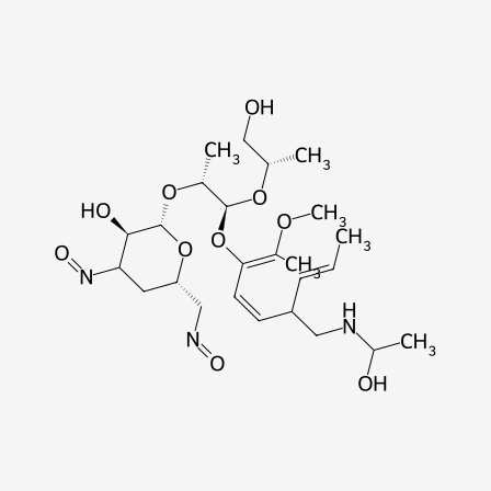 CC=CC(/C=C\C(O[C@H](O[C@@H](C)CO)[C@@H](C)O[C@@H]1O[C@H](CN=O)CC(N=O)[C@H]1O)=C(/C)OC)CNC(C)O